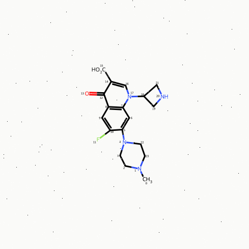 CN1CCN(c2cc3c(cc2F)c(=O)c(C(=O)O)cn3C2CNC2)CC1